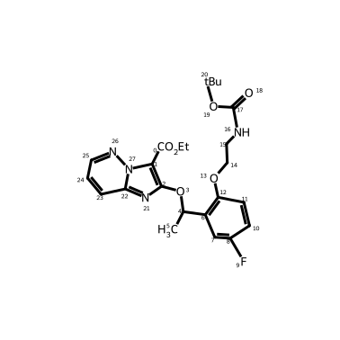 CCOC(=O)c1c(OC(C)c2cc(F)ccc2OCCNC(=O)OC(C)(C)C)nc2cccnn12